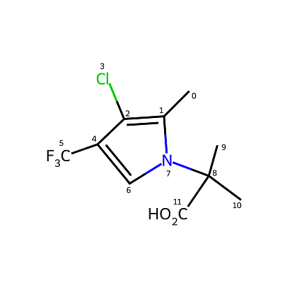 Cc1c(Cl)c(C(F)(F)F)cn1C(C)(C)C(=O)O